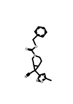 Cc1cc(C2(C#N)C3CCN(C(=O)OCc4ccccc4)CC32)no1